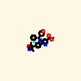 COC(=O)c1cnc2c3ccc(-c4c(C)noc4C)c(F)c3n([C@H](c3ccccc3)C3CCOCC3)c2c1